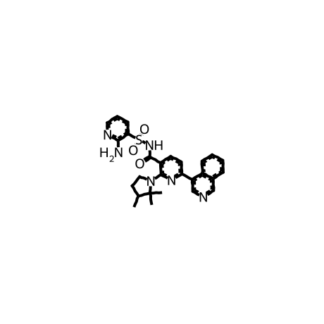 CC1CCN(c2nc(-c3cncc4ccccc34)ccc2C(=O)NS(=O)(=O)c2cccnc2N)C1(C)C